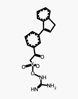 N=C(N)NOS(=O)(=O)CC(=O)c1cccc(C2=CCc3ccccc32)c1